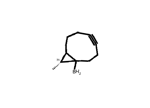 BC12CCC#CCCC1[C@H]2C